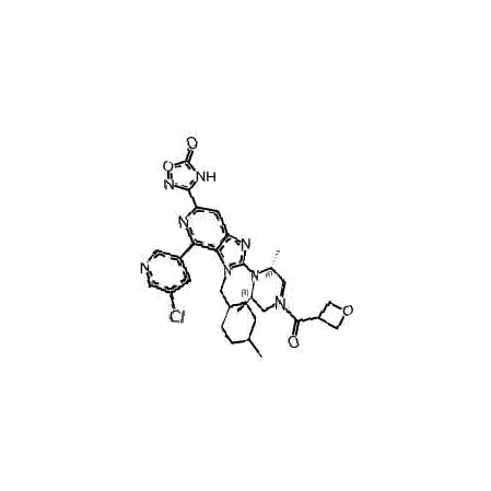 CC1CCC(Cn2c(N3[C@H](C)CN(C(=O)C4COC4)C[C@H]3C)nc3cc(-c4noc(=O)[nH]4)nc(-c4cncc(Cl)c4)c32)CC1